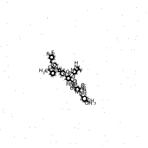 COc1nc2[nH]cc(F)c2cc1Oc1cc(N2CCC3(CC2)CC(N2CCN(Cc4ccc(F)c(F)c4)C[C@H]2c2ccccc2C(C)C)C3)ccc1C(=O)NS(=O)(=O)c1cnc(NCC2CCC(C)(O)CC2)c([N+](=O)[O-])c1